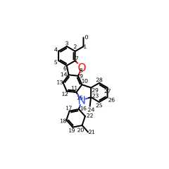 CCc1cccc2c1oc1c3c(ccc12)N(C1=CC=CC(C)C1)C1(C)C=CC=CC31